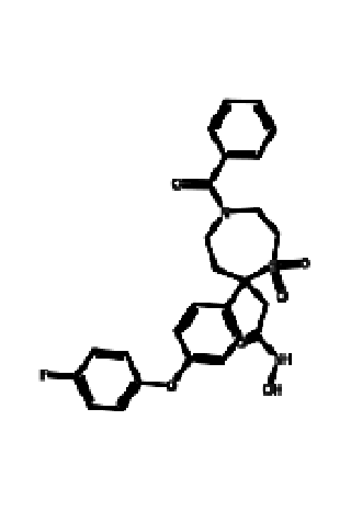 O=C(CC1(c2ccc(Oc3ccc(F)cc3)cc2)CCN(C(=O)c2ccccc2)CCS1(=O)=O)NO